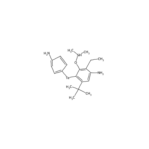 CCc1c(N)cc(C(C)(C)C)c([Te]c2ccc(N)cc2)c1O[SiH](C)C